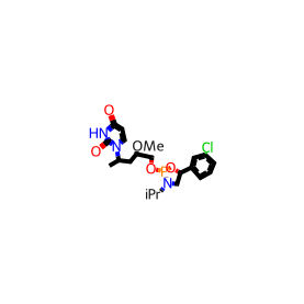 COC(COP1OC(c2cccc(Cl)c2)CN1C(C)C)CC(C)n1ccc(=O)[nH]c1=O